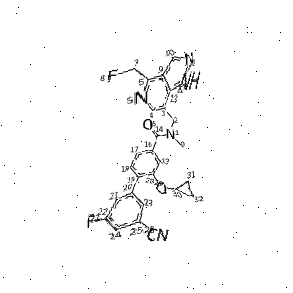 CN(Cc1cnc(CF)c2cn[nH]c12)C(=O)c1ccc(-c2cc(F)cc(C#N)c2)c(OC2CC2)c1